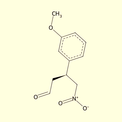 COc1cccc([C@H](CC=O)C[N+](=O)[O-])c1